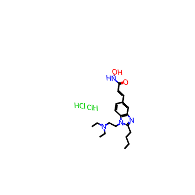 CCCCc1nc2cc(/C=C/C(=O)NO)ccc2n1CCN(CC)CC.Cl.Cl